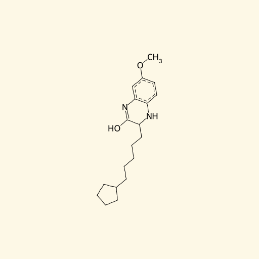 COc1ccc2c(c1)N=C(O)C(CCCCCC1CCCC1)N2